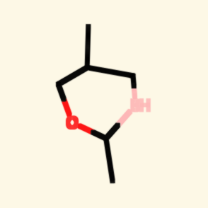 CC1CBC(C)OC1